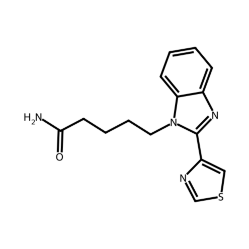 NC(=O)CCCCn1c(-c2cscn2)nc2ccccc21